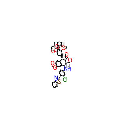 COc1cc([C@@H]2c3cc4c(cc3[C@@H](Nc3ccc(-c5nc6ccccc6s5)c(Cl)c3)[C@H]3COC(=O)[C@H]23)OCO4)cc(OC)c1OC